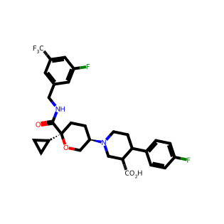 O=C(O)C1CN([C@@H]2CC[C@@](C(=O)NCc3cc(F)cc(C(F)(F)F)c3)(C3CC3)OC2)CCC1c1ccc(F)cc1